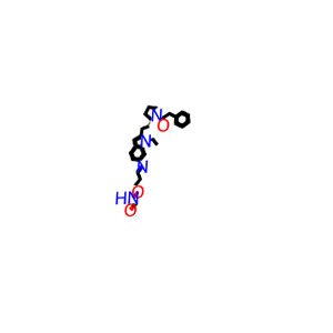 CCn1c(CC[C@@H]2CCCN2C(=O)Cc2ccccc2)cc2ccc(N=CCCONC=O)cc21